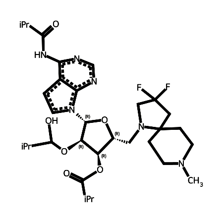 CC(C)C(=O)Nc1ncnc2c1ccn2[C@@H]1O[C@H](CN2CC(F)(F)CC23CCN(C)CC3)[C@@H](OC(=O)C(C)C)[C@H]1OC(O)C(C)C